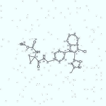 Cc1noc(-c2c(Cl)c3ccccc3n2-c2ccc(CNC(=O)C3(NC(=O)OC(C)(C)C)CC3)cc2)n1